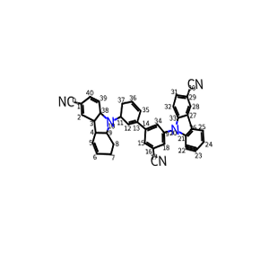 N#CC1=CC2C3C=CCCC3N(C3C=C(c4cc(C#N)cc(-n5c6c#cccc6c6cc(C#N)ccc65)c4)C=CC3)C2C=C1